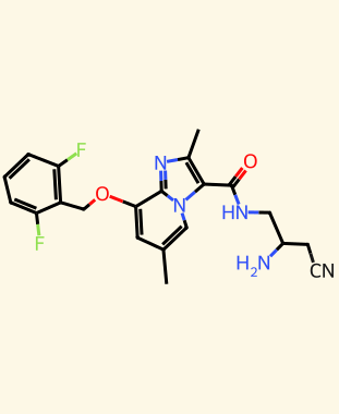 Cc1cc(OCc2c(F)cccc2F)c2nc(C)c(C(=O)NCC(N)CC#N)n2c1